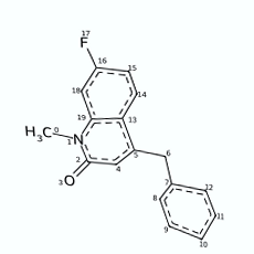 Cn1c(=O)cc(Cc2ccccc2)c2ccc(F)cc21